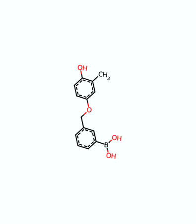 Cc1cc(OCc2cccc(B(O)O)c2)ccc1O